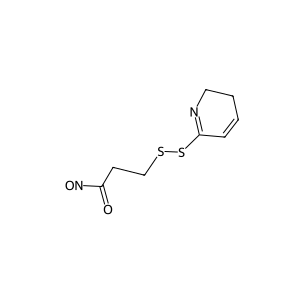 O=NC(=O)CCSSC1=NCCC=C1